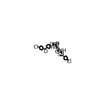 CC(C)(Oc1ccc(C(=O)c2ccc(Cl)cc2)cc1)C(=O)NNC(=O)Nc1nc(-c2ccc(Cl)cc2)cs1